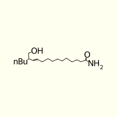 CCCCC(C=CCCCCCCCCCC(N)=O)CO